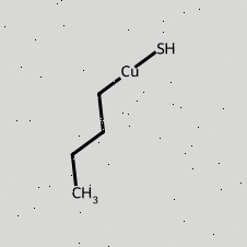 CCC[CH2][Cu][SH]